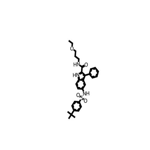 CCOCCCNC(=O)c1[nH]c2ccc(NS(=O)(=O)c3ccc(C(C)(C)C)cc3)cc2c1-c1ccccc1